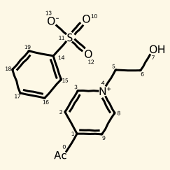 CC(=O)c1cc[n+](CCO)cc1.O=S(=O)([O-])c1ccccc1